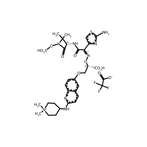 CC1(C)[C@H](NC(=O)/C(=N\O[C@@H](COc2ccc3nc(NC4CC[N+](C)(C)CC4)ccc3c2)C(=O)O)c2csc(N)n2)C(=O)N1OS(=O)(=O)O.O=C([O-])C(F)(F)F